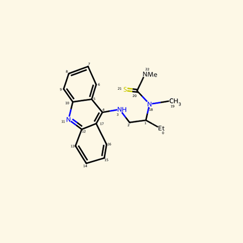 CCC(CNc1c2ccccc2nc2ccccc12)N(C)C(=S)NC